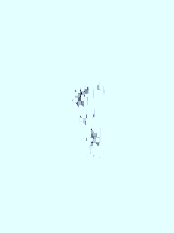 CC(C)(C)OC(=O)N1CCC[C@H]1c1nc2cc(CN(Cc3ccc(NC(=O)C4CCCN4C(=O)OCC4c5ccccc5-c5ccccc54)cc3)c3ccc(F)cc3)ccc2[nH]1